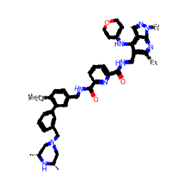 CCc1nc2c(cnn2CC)c(NC2CCOCC2)c1CNC(=O)c1cccc(C(=O)NCc2ccc(OC)c(-c3cccc(CN4C[C@@H](C)N[C@@H](C)C4)c3)c2)n1